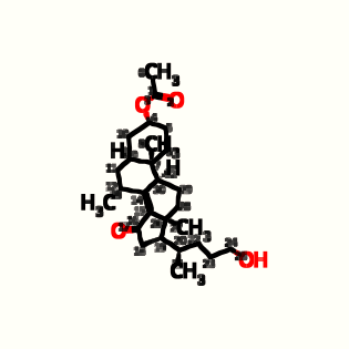 CC(=O)O[C@H]1CC[C@@]2(C)[C@H](C1)C[C@@H](C)C1=C3C(=O)C[C@H]([C@H](C)CCCO)[C@@]3(C)CC[C@@H]12